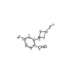 O=Cc1ccc(F)cc1N1CC(F)C1